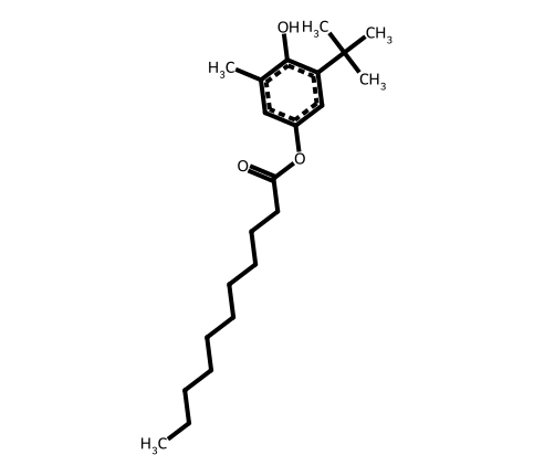 CCCCCCCCCCC(=O)Oc1cc(C)c(O)c(C(C)(C)C)c1